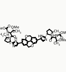 COC(=O)NC(C(=O)N1[C@@H](C)CC[C@H]1c1ncc(-c2cc3c4c(c2)OCc2cc(-c5cnc([C@@H]6CC[C@H](C)N6C(=O)C(NC(=O)OC)[C@@H](C)OC)[nH]5)cc(c2-4)OC3)[nH]1)[C@@H](C)OC